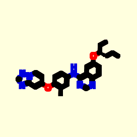 CCC[C@@H](CC)Oc1ccc2ncnc(Nc3ccc(Oc4ccn5ncnc5c4)c(C)c3)c2c1